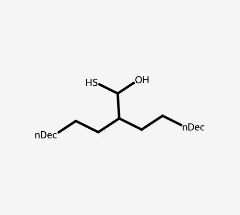 CCCCCCCCCCCCC(CCCCCCCCCCCC)C(O)S